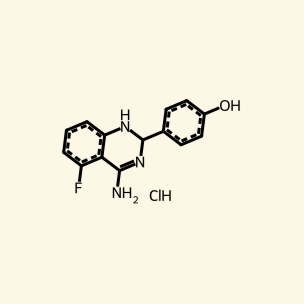 Cl.NC1=NC(c2ccc(O)cc2)Nc2cccc(F)c21